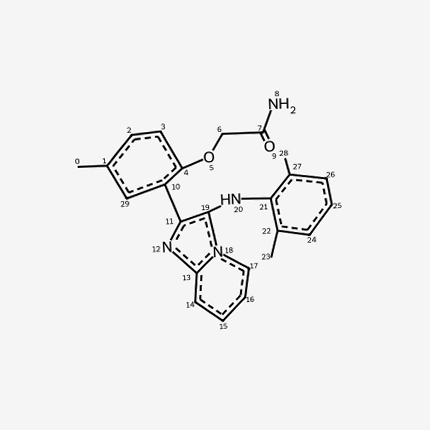 Cc1ccc(OCC(N)=O)c(-c2nc3ccccn3c2Nc2c(C)cccc2C)c1